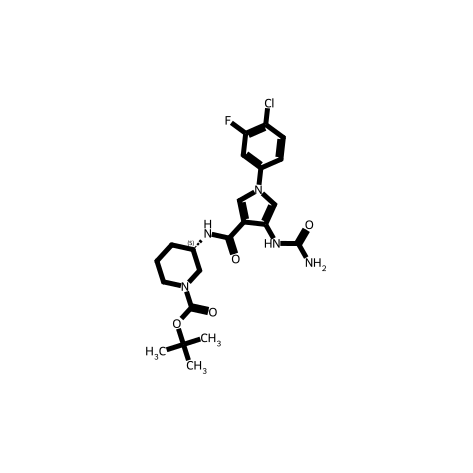 CC(C)(C)OC(=O)N1CCC[C@H](NC(=O)c2cn(-c3ccc(Cl)c(F)c3)cc2NC(N)=O)C1